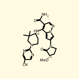 CO[C@H]1CCN(c2cc3c(N[C@@H]4CCN(c5ncc(C#N)cn5)CC4(C)C)c(C(N)=O)cnn3c2)C1=O